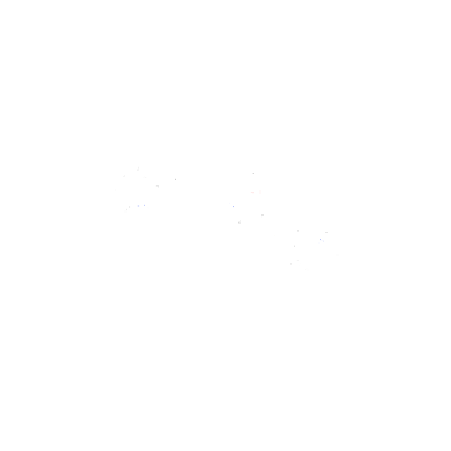 O=P(O)(Cl)N(CCSSc1ccccn1)CCSSc1ccccn1